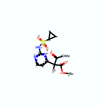 CCC(C(=O)OC)(C(=O)OC(C)(C)C)c1ccnc(NS(=O)(=O)C2CC2)n1